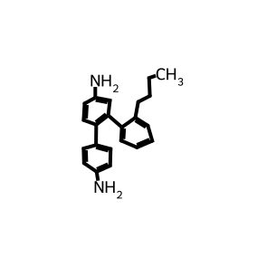 CCCCc1ccccc1-c1cc(N)ccc1-c1ccc(N)cc1